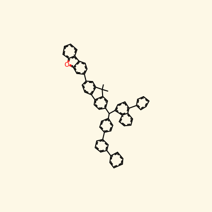 CC1(C)c2cc(-c3ccc4c(c3)oc3ccccc34)ccc2-c2ccc(C(c3ccc(-c4cccc(-c5ccccc5)c4)cc3)c3ccc(-c4ccccc4)c4ccccc34)cc21